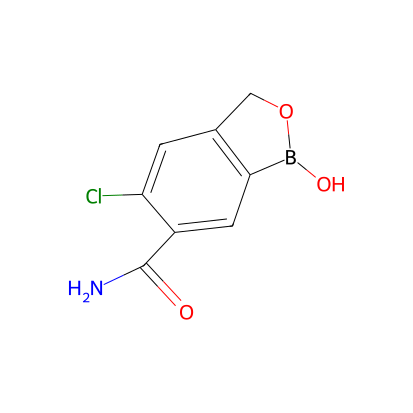 NC(=O)c1cc2c(cc1Cl)COB2O